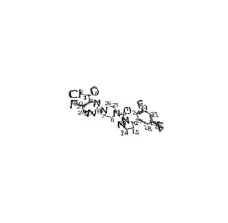 O=C(Cl)c1nc(N2CCN(C(=O)N3N=CC[C@H]3c3cc(F)cc(F)c3)CC2)ncc1F